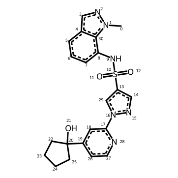 Cn1ncc2cccc(NS(=O)(=O)c3cnn(-c4cc(C5(O)CCCC5)ccn4)c3)c21